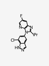 CC(C)c1nc2cc(F)cnc2n1-c1cc(Cl)c2[nH]ncc2c1